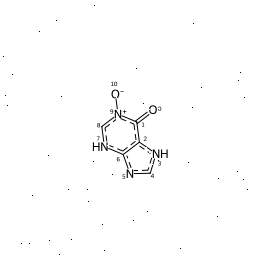 O=c1c2[nH]cnc2[nH]c[n+]1[O-]